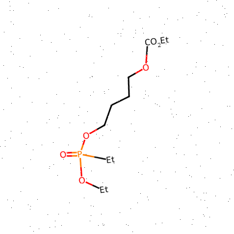 CCOC(=O)OCCCCOP(=O)(CC)OCC